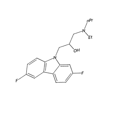 CCCN(CC)CC(O)Cn1c2ccc(F)cc2c2ccc(F)cc21